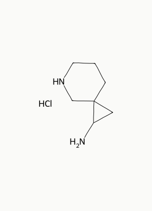 Cl.NC1CC12CCCNC2